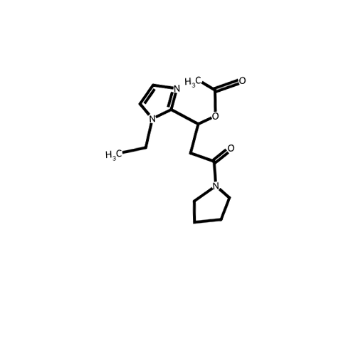 CCn1ccnc1C(CC(=O)N1CCCC1)OC(C)=O